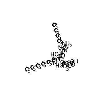 Nc1ncnc2c1ncn2[C@@H]1O[C@H](COP(=O)(O)OP(=O)(O)OP(=O)(O)O)[C@@H](O)[C@H]1O.c1ccncc1.c1ccsc1.c1ccsc1.c1ccsc1.c1ccsc1.c1ccsc1.c1ccsc1.c1ccsc1.c1ccsc1.c1ccsc1